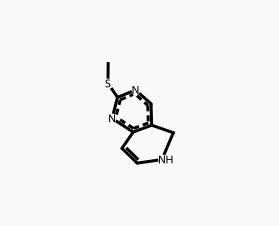 CSc1ncc2c(n1)C=CNC2